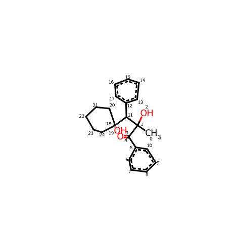 CC(O)(C(=O)c1ccccc1)C(c1ccccc1)C1(O)CCCCC1